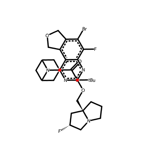 CC(C)(C)OC(=O)N1CC2CC(C1)N2c1nc(OC[C@@]23CCCN2C[C@H](F)C3)nc2c(F)c(Br)c3c(c12)COC3